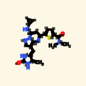 C=c1[nH]c(=O)[nH]/c1=C\c1cnn2c(NC3CC3)cc(-c3ccc(C(=O)N(C)C)s3)nc12